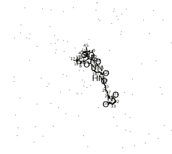 CO[Si](OC)(C1C([Si](C)(C)C(C)(C)C)OC(n2ccc(C(=O)NOCCCCCN3C(=O)C=CC3=O)nc2=O)C1(F)F)C(C)(C)C